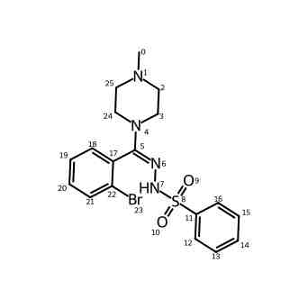 CN1CCN(C(=NNS(=O)(=O)c2ccccc2)c2ccccc2Br)CC1